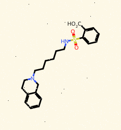 O=C(O)c1ccccc1S(=O)(=O)NCCCCCCN1CCc2ccccc2C1